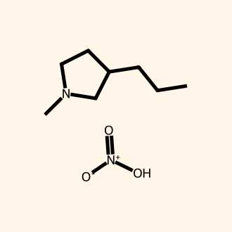 CCCC1CCN(C)C1.O=[N+]([O-])O